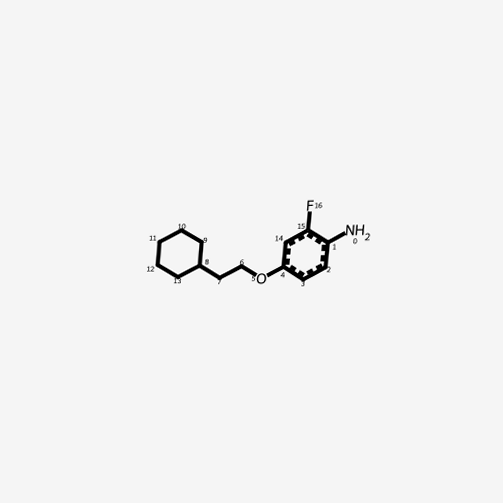 Nc1ccc(OCCC2CCCCC2)cc1F